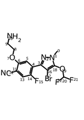 Cn1nc(-c2cc(OCCN)c(C#N)cc2F)c(Br)c1OC(F)F